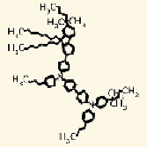 CCCCCCCCC1(CCCCCCCC)c2cc(-c3ccc(N(c4ccc(CCCC)cc4)c4ccc(-c5ccc(N(c6ccc(CCCC)cc6)c6ccc(C(C)(C)CCC)cc6)cc5)cc4)cc3)ccc2-c2ccc(C(C)(C)CCCC)cc21